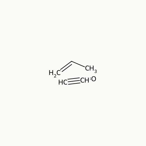 C#C.C=CC.[O]